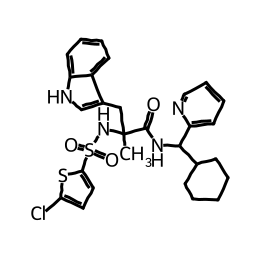 CC(Cc1c[nH]c2ccccc12)(NS(=O)(=O)c1ccc(Cl)s1)C(=O)NC(c1ccccn1)C1CCCCC1